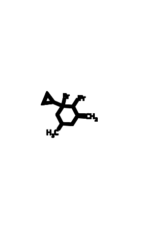 C=C1CC(C)CC(Br)(C2CC2)C1C(C)C